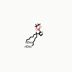 CCCCCCCCCCCCCCCC(C)(CCCCCCCCCCCCCCC)c1ccsc1B1OC(C)(C)C(C)(C)O1